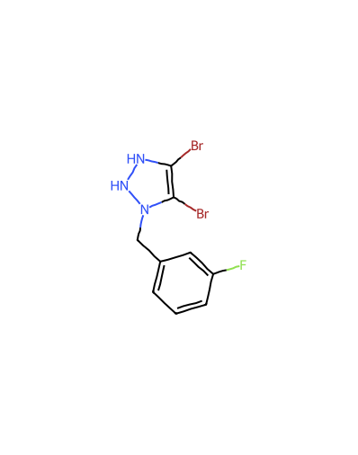 Fc1cccc(CN2NNC(Br)=C2Br)c1